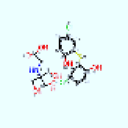 O=C(O)CNC(CO)(CO)CO.Oc1ccc(Cl)cc1Sc1cc(Cl)ccc1O